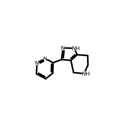 c1cnnc(-c2n[nH]c3c2CNCC3)c1